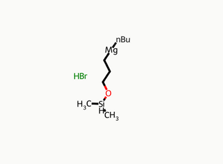 Br.CCC[CH2][Mg][CH2]CCO[SiH](C)C